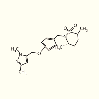 Cc1cc(COc2ccc(CN3[C@@H](C)CCC(C)S3(=O)=O)cc2)n(C)n1